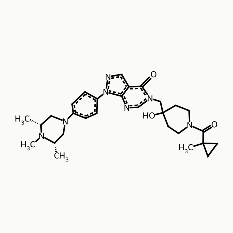 C[C@@H]1CN(c2ccc(-n3ncc4c(=O)n(CC5(O)CCN(C(=O)C6(C)CC6)CC5)cnc43)cc2)C[C@H](C)N1C